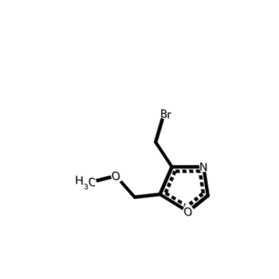 COCc1ocnc1CBr